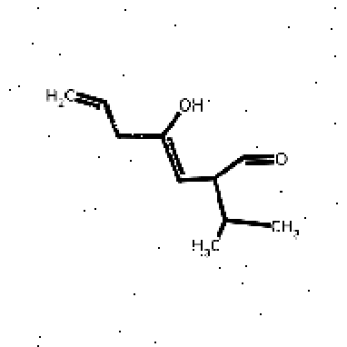 C=CCC(O)=CC(C=O)C(C)C